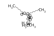 CCCCCCCCC(=O)OCC(COP(=O)([O-])OCC[N+](C)(C)C)OC(=O)CCCCCCCC